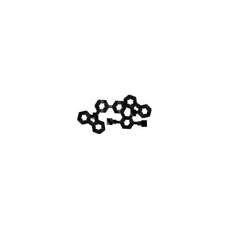 N#Cc1ccc(C#N)c(-n2c3ccccc3c3ccccc32)c1-c1cccc(-c2cccc(-n3c4ccccc4c4ccccc43)c2)c1